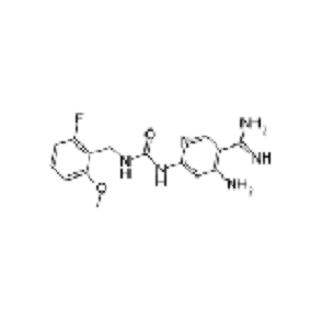 COc1cccc(F)c1CNC(=O)Nc1cc(N)c(C(=N)N)cn1